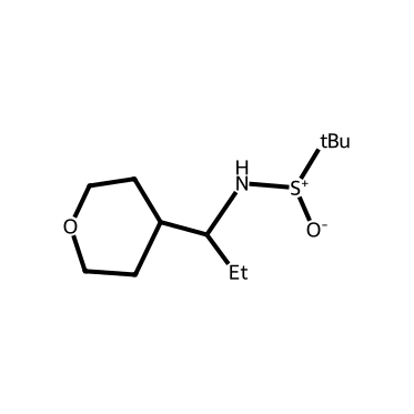 CCC(N[S+]([O-])C(C)(C)C)C1CCOCC1